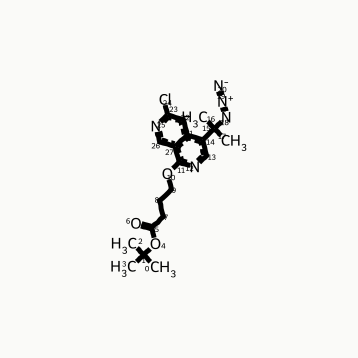 CC(C)(C)OC(=O)CCCOc1ncc(C(C)(C)N=[N+]=[N-])c2cc(Cl)ncc12